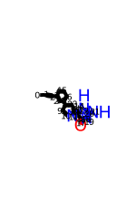 CC#Cc1cccc(-c2ccnc([C@]3(C)CC(=O)N(C)C(=N)N3)c2)c1